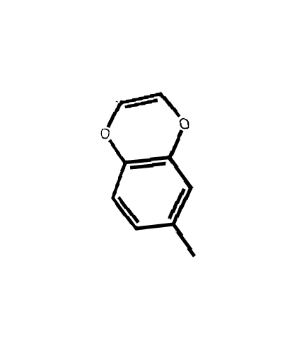 Cc1ccc2c(c1)OC=[C]O2